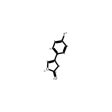 O=C1CC(c2ccc(F)cc2)=CO1